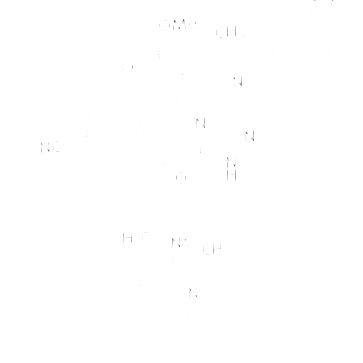 COC(=O)C1=C(C)N(c2cccc(C(F)(F)F)c2)c2n[nH]c(=O)n2[C@@H]1c1ccc(C#N)cc1CCC[N+](C)(C)c1ccccn1